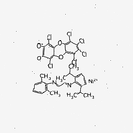 Cc1cccc(C)c1N=CC=Nc1c(C(C)C)cccc1C(C)C.[Ni+2].[O-]c1c([O-])c(Cl)c2c(c1Cl)Oc1c(Cl)c(Cl)c(Cl)c(Cl)c1O2